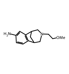 COCCN1CC2CC(C1)c1cc(N)ccc12